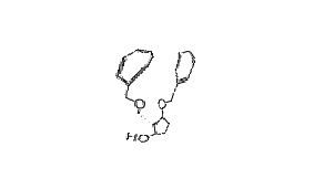 O[C@@H]1CC[C@H](OCc2ccccc2)[C@H]1COCc1ccccc1